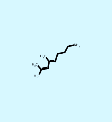 CC(C)=C/C(C)=C/CCCN